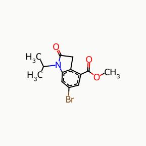 COC(=O)c1cc(Br)cc2c1CC(=O)N2C(C)C